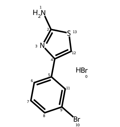 Br.Nc1nc(-c2cccc(Br)c2)cs1